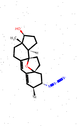 [3H][C@H]1C=C2C=C3CC[C@@]4(C)[C@@H](CC[C@@H]4O)[C@@]34CC[C@]2(C[C@@H]1N=[N+]=[N-])O4